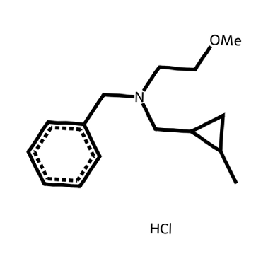 COCCN(Cc1ccccc1)CC1CC1C.Cl